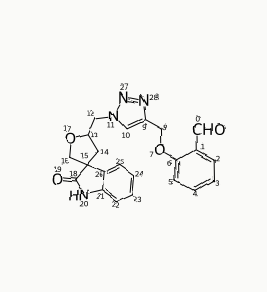 O=Cc1ccccc1OCc1cn(CC2CC3(CO2)C(=O)Nc2ccccc23)nn1